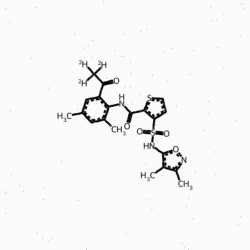 [2H]C([2H])([2H])C(=O)c1cc(C)cc(C)c1NC(=O)c1sccc1S(=O)(=O)Nc1onc(C)c1C